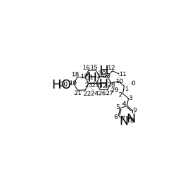 C[C@H](CCc1ccnnc1)[C@H]1CC[C@H]2[C@@H]3CC=C4C[C@@H](O)CC[C@]4(C)[C@H]3CC[C@]12C